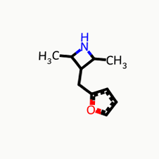 CC1NC(C)C1Cc1ccco1